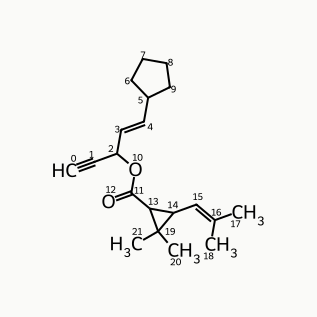 C#CC(C=CC1CCCC1)OC(=O)C1C(C=C(C)C)C1(C)C